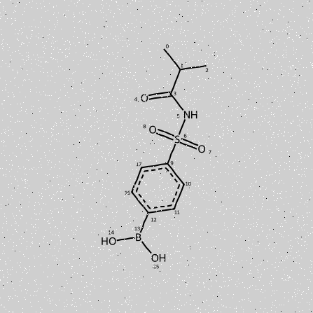 CC(C)C(=O)NS(=O)(=O)c1ccc(B(O)O)cc1